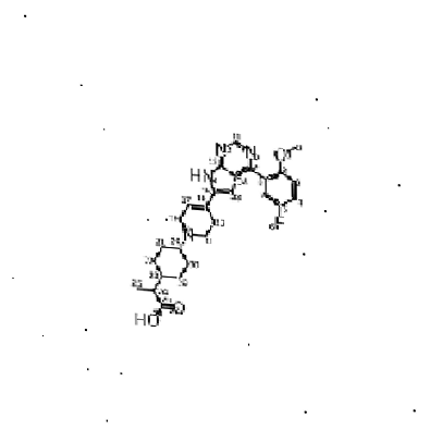 COc1ccc(F)cc1-c1ncnc2[nH]c(C3=CCN([C@H]4CC[C@H](C(C)C(=O)O)CC4)CC3)cc12